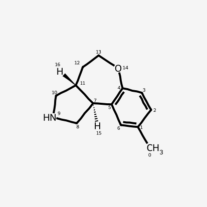 Cc1ccc2c(c1)[C@H]1CNC[C@@H]1CCO2